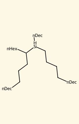 CCCCCCCCCCCCCC[SiH](CCCCCCCCCC)C(CCCCCC)CCCCCCCCCCCCC